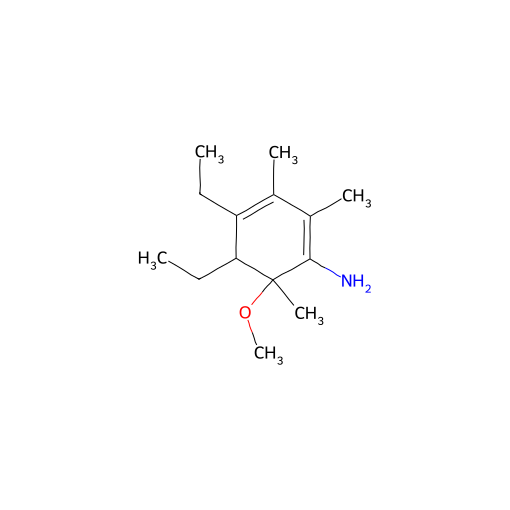 CCC1=C(C)C(C)=C(N)C(C)(OC)C1CC